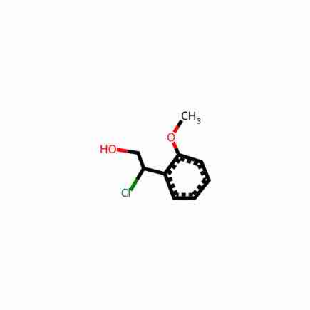 COc1ccccc1C(Cl)CO